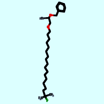 CCCC(COCCCCCCCCCCCCCCCCC(F)(C(F)(F)F)C(F)(F)F)OCc1ccccc1